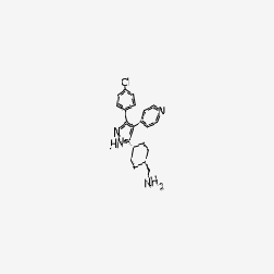 NC[C@H]1CC[C@H](c2[nH]nc(-c3ccc(Cl)cc3)c2-c2ccncc2)CC1